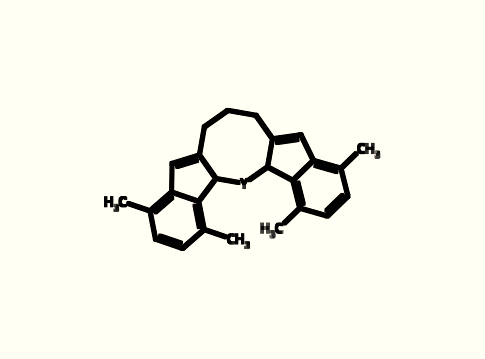 Cc1ccc(C)c2c1C=C1CCCC3=Cc4c(C)ccc(C)c4[CH]3[Y][CH]12